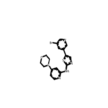 Brc1cncc(-c2cnc(Nc3cc(N4CCOCC4)ccn3)s2)c1